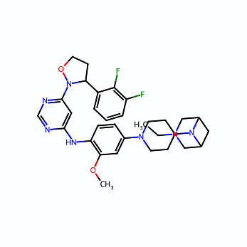 CCN1CC2CC(C1)N2C1CCN(c2ccc(Nc3cc(N4OCCC4c4cccc(F)c4F)ncn3)c(OC)c2)CC1